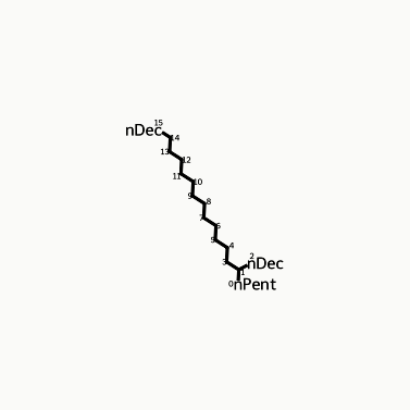 [CH2]CCCCC(CCCCCCCCCC)CCCCCCCCCCCCCCCCCCCCCC